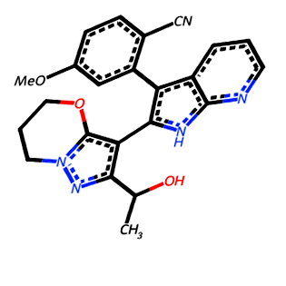 COc1ccc(C#N)c(-c2c(-c3c(C(C)O)nn4c3OCCC4)[nH]c3ncccc23)c1